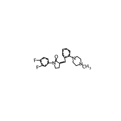 CN1CCN(c2ccccc2C=C2CCN(c3ccc(F)c(F)c3)C2=O)CC1